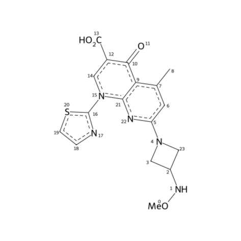 CONC1CN(c2cc(C)c3c(=O)c(C(=O)O)cn(-c4nccs4)c3n2)C1